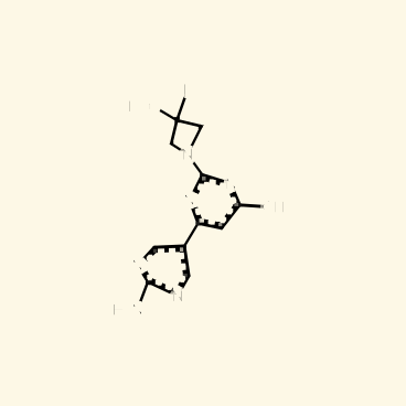 Cc1cc(-c2cnc(N)nc2)nc(N2CC(C)(F)C2)n1